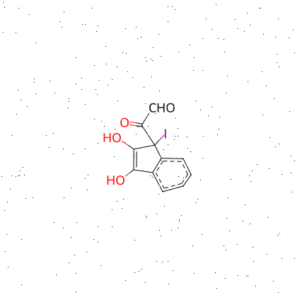 O=CC(=O)C1(I)C(O)=C(O)c2ccccc21